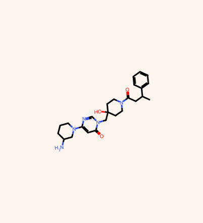 CC(CC(=O)N1CCC(O)(Cn2cnc(N3CCCC(N)C3)cc2=O)CC1)c1ccccc1